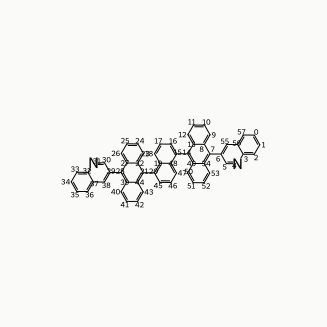 c1ccc2ncc(-c3c4ccccc4c(-c4cccc5c(-c6c7ccccc7c(-c7cnc8ccccc8c7)c7ccccc67)cccc45)c4ccccc34)cc2c1